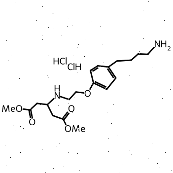 COC(=O)CC(CC(=O)OC)NCCOc1ccc(CCCCN)cc1.Cl.Cl